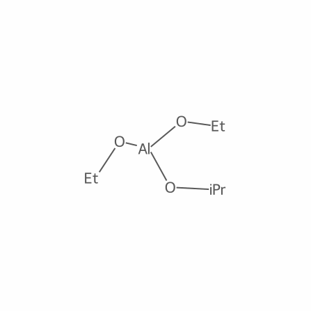 CC[O][Al]([O]CC)[O]C(C)C